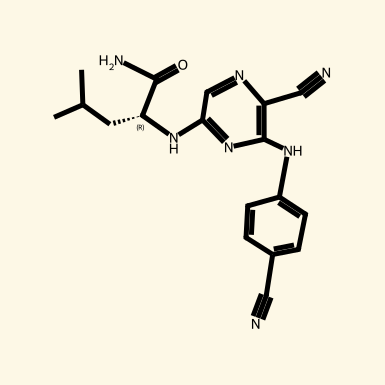 CC(C)C[C@@H](Nc1cnc(C#N)c(Nc2ccc(C#N)cc2)n1)C(N)=O